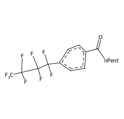 CCCCCC(=O)c1ccc(C(F)(F)C(F)(F)C(F)(F)C(F)(F)F)cc1